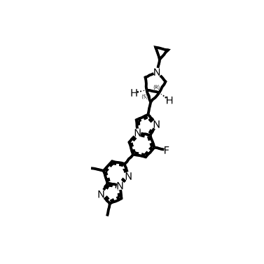 Cc1cn2nc(-c3cc(F)c4nc(C5[C@H]6CN(C7CC7)C[C@@H]56)cn4c3)cc(C)c2n1